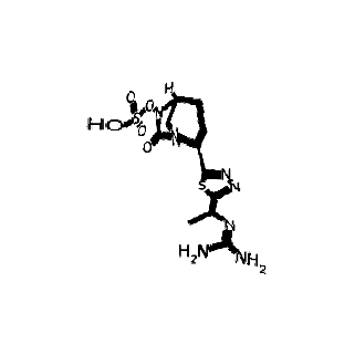 CC(N=C(N)N)c1nnc([C@@H]2CC[C@@H]3CN2C(=O)N3OS(=O)(=O)O)s1